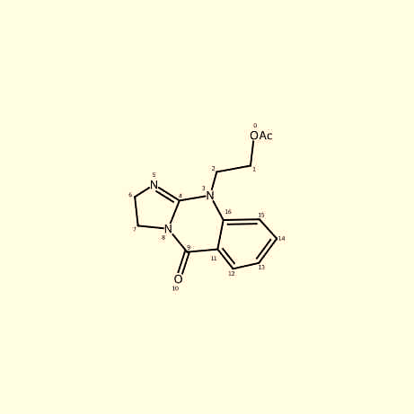 CC(=O)OCCN1C2=NCCN2C(=O)c2ccccc21